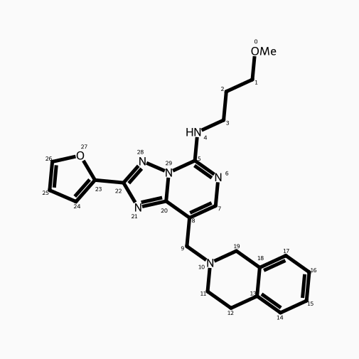 COCCCNc1ncc(CN2CCc3ccccc3C2)c2nc(-c3ccco3)nn12